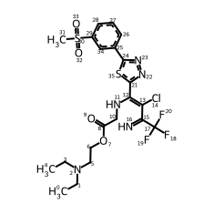 CCN(CC)CCOC(=O)CN/C(=C(/Cl)C(=N)C(F)(F)F)c1nnc(-c2cccc(S(C)(=O)=O)c2)s1